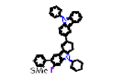 CSc1ccccc1-c1cc2c3c(n(C4C=CCCC4)c2cc1I)CCC(c1ccc2c(c1)c1ccccc1n2-c1ccccc1)=C3